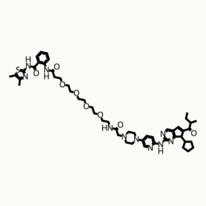 CCC(C)C(=O)C1=Cc2cnc(Nc3ccc(N4CCN(CC(=O)NCCOCCOCCOCCOCCC(=O)Nc5ccccc5C(=O)Nc5nc(C)c(C)s5)CC4)cn3)nc2C1C1CCCC1